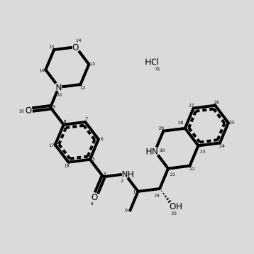 CC(NC(=O)c1ccc(C(=O)N2CCOCC2)cc1)[C@@H](O)C1Cc2ccccc2CN1.Cl